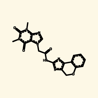 Cn1c(=O)c2c(ncn2CC(=O)Nc2nc3c(s2)COc2ccccc2-3)n(C)c1=O